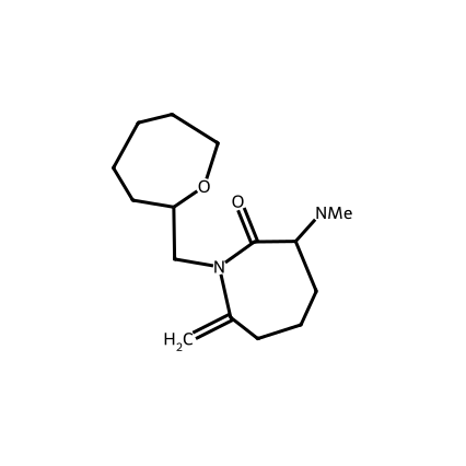 C=C1CCCC(NC)C(=O)N1CC1CCCCCO1